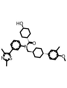 COc1ccc([C@H]2CC[C@H](CN(c3cccc(-c4sc(C)nc4C)c3)C(=O)[C@H]3CC[C@H](O)CC3)CC2)cc1C